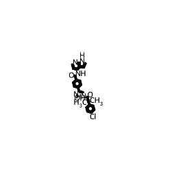 CC(C)(C(=O)NC/C(=N\O)c1ccc(C(=O)Nc2ccnc3[nH]ccc23)cc1)c1ccc(Cl)cc1